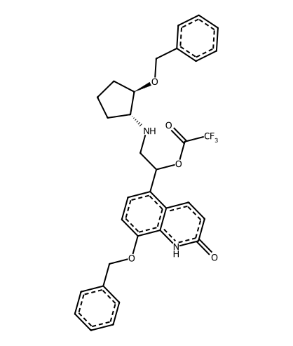 O=C(OC(CN[C@@H]1CCC[C@H]1OCc1ccccc1)c1ccc(OCc2ccccc2)c2[nH]c(=O)ccc12)C(F)(F)F